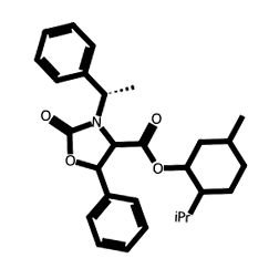 CC1CCC(C(C)C)C(OC(=O)C2C(c3ccccc3)OC(=O)N2[C@@H](C)c2ccccc2)C1